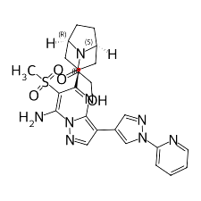 CS(=O)(=O)c1c([C@H]2C[C@H]3CC[C@@H](C2)N3C(=O)CO)nc2c(-c3cnn(-c4ccccn4)c3)cnn2c1N